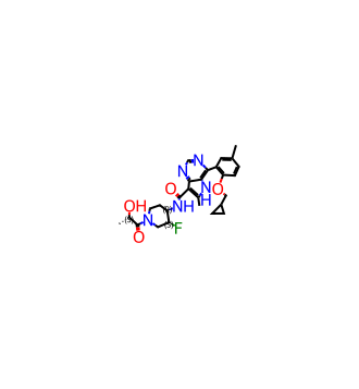 Cc1ccc(OCC2CC2)c(-c2ncnc3c(C(=O)N[C@@H]4CCN(C(=O)[C@H](C)O)C[C@@H]4F)c(C)[nH]c23)c1